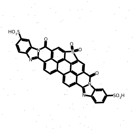 O=c1c2cc3c4c5c(cc6c(=O)n7c8cc(S(=O)(=O)O)ccc8nc7c7ccc(c8ccc(c2c84)c2nc4ccc(S(=O)(=O)O)cc4n12)c5c67)S3(=O)=O